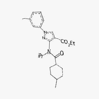 CCOC(=O)c1cn(-c2cccc(C)c2)nc1N(C(=O)C1CCC(C)CC1)C(C)C